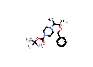 CC([C@H](C)OCc1ccccc1)N1CCN(C(=O)OC(C)(C)C)CC1